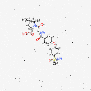 C[C@@]12C[C@@H]1N(C(=O)CNC(=O)c1ccc(Oc3ccc(S(C)(=N)=O)cc3)cc1)[C@H](C(=O)O)C2